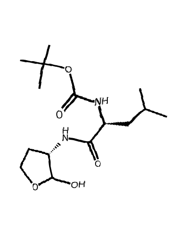 CC(C)C[C@H](NC(=O)OC(C)(C)C)C(=O)N[C@H]1CCOC1O